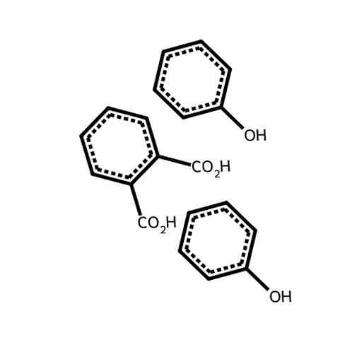 O=C(O)c1ccccc1C(=O)O.Oc1ccccc1.Oc1ccccc1